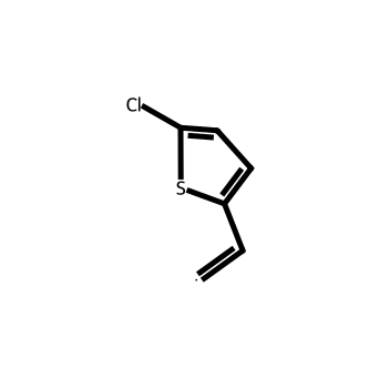 [CH]=Cc1ccc(Cl)s1